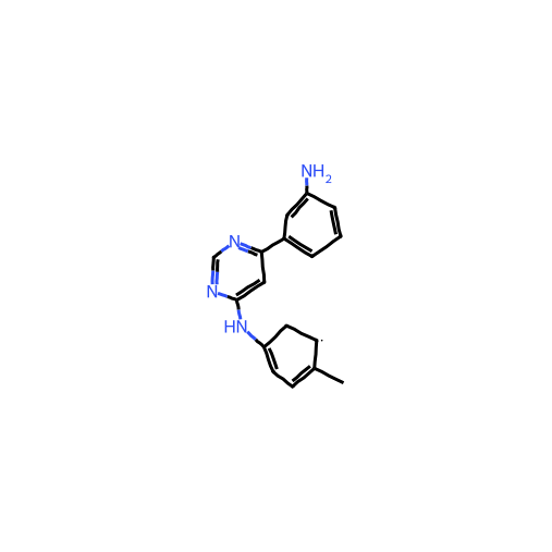 CC1=CC=C(Nc2cc(-c3cccc(N)c3)ncn2)C[CH]1